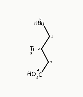 CCCCCCCC(=O)O.[Ti]